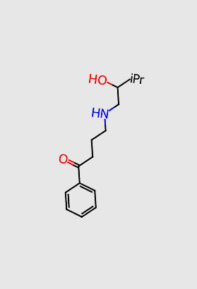 CC(C)C(O)CNCCCC(=O)c1ccccc1